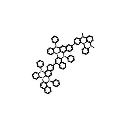 CN1c2ccccc2B2c3cc(-c4ccc5c6c7c(cc5c4)N(c4ccccc4)c4ccccc4B7c4cc(-c5ccc7c8c9c(cc7c5)N(c5ccccc5)c5c(ccc7ccccc57)B9c5ccccc5N8c5ccccc5)c5ccccc5c4N6c4ccccc4)ccc3N(C)c3cccc1c32